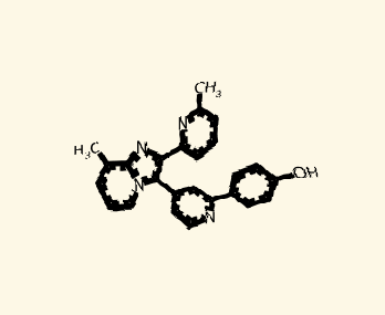 Cc1cccc(-c2nc3c(C)cccn3c2-c2ccnc(-c3ccc(O)cc3)c2)n1